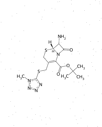 Cn1nnnc1SCC1=C(C(=O)OC(C)(C)C)N2C(=O)C(N)[C@H]2SC1